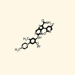 COc1ncc(F)cc1-c1c(C(N)=O)sc2cnc(Nc3cc(C)c(N4CCN(C)CC4)cc3OC(C)C)nc12